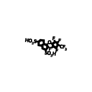 O=S(=O)(O)c1ccc2c(Oc3c(F)c(F)c(C(F)(F)F)c(F)c3F)cc(S(=O)(=O)O)cc2c1